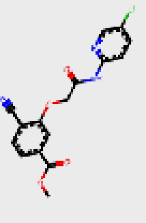 COC(=O)c1ccc(C#N)c(OCC(=O)Nc2ccc(Cl)cn2)c1